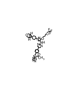 C[C@@H](Cn1cnnn1)Oc1cc(-c2cnc(Nc3cn(C4CCC(N5[C@@H]6CC[C@H]5COC6)CC4)nc3OCCCOCC(F)(F)F)nc2)ccc1C#N